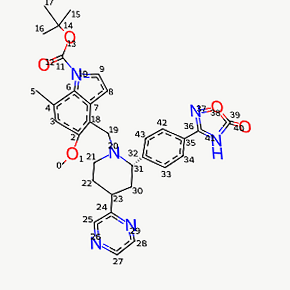 COc1cc(C)c2c(ccn2C(=O)OC(C)(C)C)c1CN1CCC(c2cnccn2)C[C@H]1c1ccc(-c2noc(=O)[nH]2)cc1